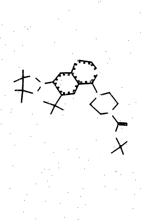 CC(C)(C)OC(=O)N1CCN(c2ncnc3cc(B4OC(C)(C)C(C)(C)O4)c(C(C)(F)F)cc23)CC1